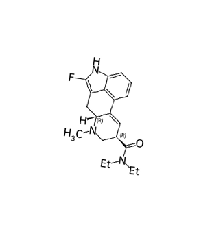 CCN(CC)C(=O)[C@@H]1C=C2c3cccc4[nH]c(F)c(c34)C[C@H]2N(C)C1